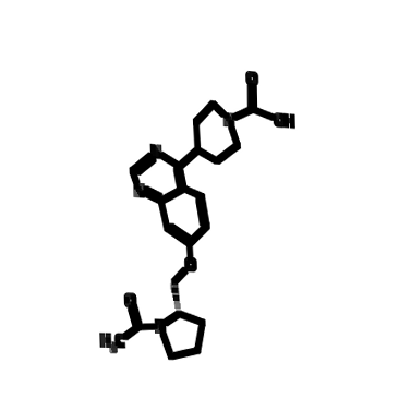 CC(=O)N1CCC[C@H]1COc1ccc2c(C3CCN(C(=O)O)CC3)ncnc2c1